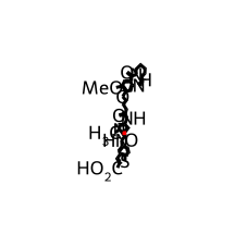 COc1cc2c(cc1OCCCC(=O)Nc1cc(C(=O)Nc3ccc4sc(C(=O)O)cc4c3)n(C)c1)N=C[C@@H]1CCCCN1C2=O